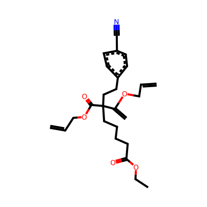 C=CCOC(=C)C(CCCCC(=O)OCC)(CCc1ccc(C#N)cc1)C(=O)OCC=C